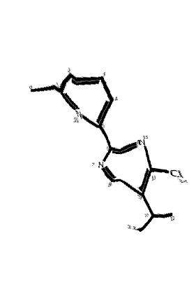 Cc1cccc(-c2ncc(C(C)C)c(Cl)n2)n1